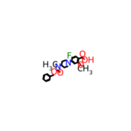 COc1cc(N2CCC(N(C)C(=O)OCc3ccccc3)CC2)c(F)cc1C(=O)O